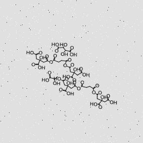 CC(O)C(=O)O.O=C(O)C(O)C(O)C(=O)O.O=C(O)CC(O)(CC(=O)OC(=O)CCC(=O)OC(=O)CC(O)(CC(=O)O)C(=O)O)C(=O)O.O=C(O)CC(O)(CC(=O)OC(=O)CCC(=O)OC(=O)CC(O)(CC(=O)O)C(=O)O)C(=O)O